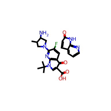 CC1CN(c2nc3c(cc2F)c(=O)c(C(=O)O)cn3C(C)(C)C)CC1N.O=c1ccc2cccnc2[nH]1